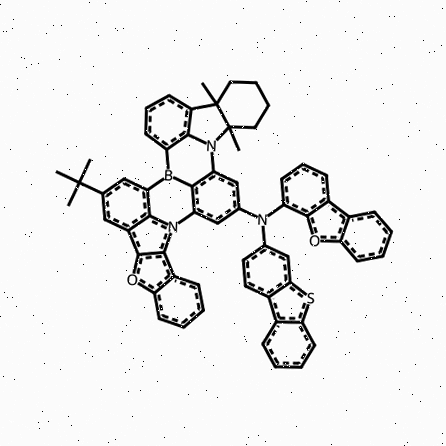 CC(C)(C)c1cc2c3c(c1)c1oc4ccccc4c1n3-c1cc(N(c3ccc4c(c3)sc3ccccc34)c3cccc4c3oc3ccccc34)cc3c1B2c1cccc2c1N3C1(C)CCCCC21C